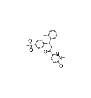 Cc1ccccc1C(CC(=O)c1ccc(=O)n(C)n1)c1ccc(S(C)(=O)=O)cc1